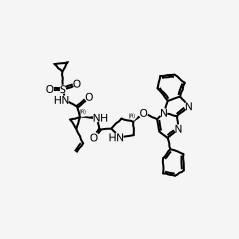 C=CC1C[C@]1(NC(=O)C1C[C@@H](Oc2cc(-c3ccccc3)nc3nc4ccccc4n23)CN1)C(=O)NS(=O)(=O)C1CC1